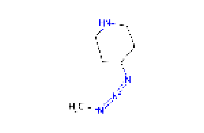 CN=[N+]=NC1CCNCC1